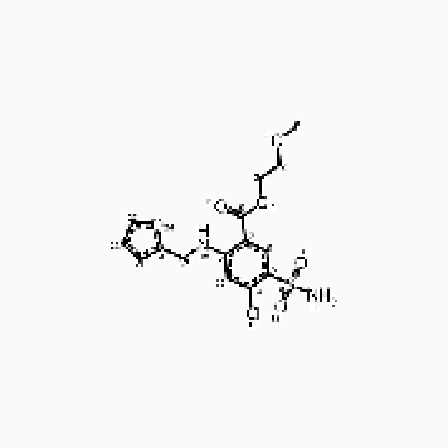 COCCOC(=O)c1cc(S(N)(=O)=O)c(Cl)cc1NCc1ccco1